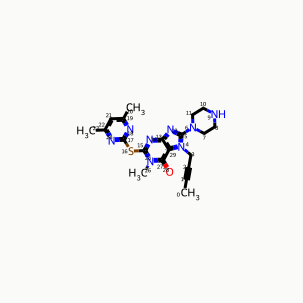 CC#CCn1c(N2CCNCC2)nc2nc(Sc3nc(C)cc(C)n3)n(C)c(=O)c21